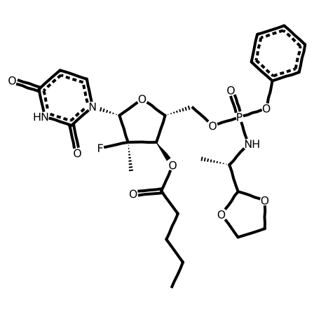 CCCCC(=O)O[C@@H]1[C@@H](COP(=O)(N[C@@H](C)C2OCCO2)Oc2ccccc2)O[C@@H](n2ccc(=O)[nH]c2=O)[C@]1(C)F